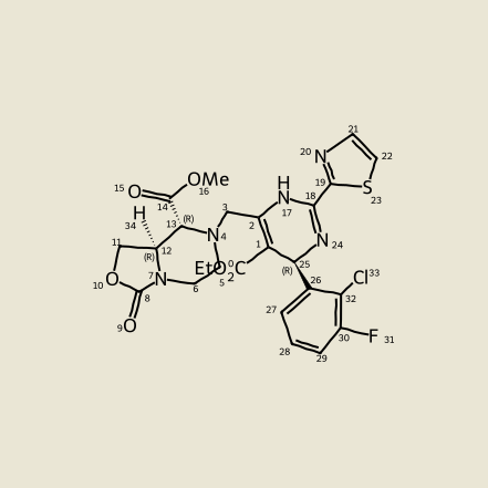 CCOC(=O)C1=C(CN2CCN3C(=O)OC[C@H]3[C@@H]2C(=O)OC)NC(c2nccs2)=N[C@H]1c1cccc(F)c1Cl